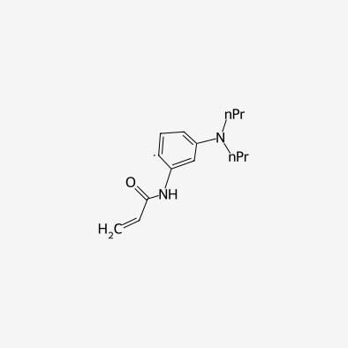 C=CC(=O)Nc1[c]ccc(N(CCC)CCC)c1